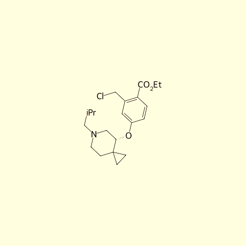 CCOC(=O)c1ccc(O[C@H]2CN(CC(C)C)CCC23CC3)cc1CCl